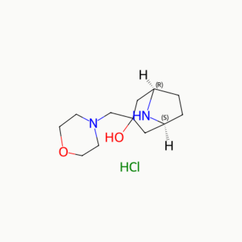 Cl.OC1(CN2CCOCC2)C[C@H]2CC[C@@H](C1)N2